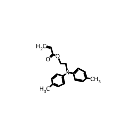 C=CC(=O)OCCN(c1ccc(C)cc1)c1ccc(C)cc1